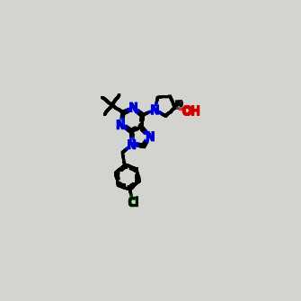 CC(C)(C)c1nc(N2CC[C@H](O)C2)c2ncn(Cc3ccc(Cl)cc3)c2n1